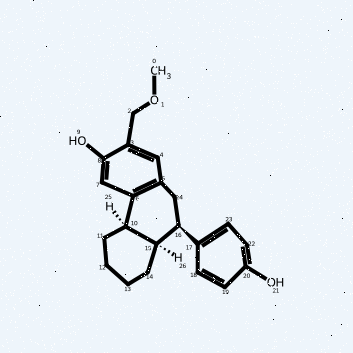 COCc1cc2c(cc1O)[C@@H]1CCCC[C@@H]1[C@H](c1ccc(O)cc1)C2